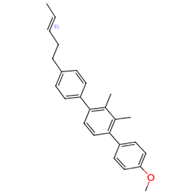 C/C=C/CCc1ccc(-c2ccc(-c3ccc(OC)cc3)c(C)c2C)cc1